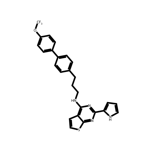 FC(F)(F)Oc1ccc(-c2ccc(CCCNc3nc(-c4ccc[nH]4)nc4sccc34)cc2)cc1